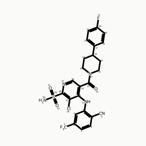 N#Cc1ccc(C(F)(F)F)cc1Nc1c(C(=O)N2CCC(c3ccc(F)cc3)CC2)cnc(S(N)(=O)=O)c1Cl